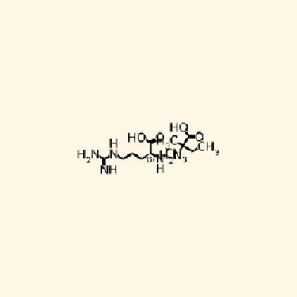 CCC(C)(N)C(=O)O.CN[C@@H](CCCNC(=N)N)C(=O)O